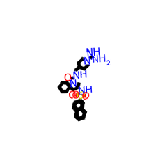 CC(NS(=O)(=O)c1ccc2ccccc2c1)C(=O)C1([N]C(=O)NCC2CCN(C(=N)N)CC2)CCCCC1